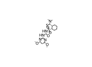 COc1cc(OC)nc(NC(=O)NS(=O)(=O)c2ccccc2C(=S)N(C)C)n1